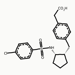 O=C(O)Cc1ccc(C[C@@H]2CCC[C@@H]2NS(=O)(=O)c2ccc(Cl)cc2)cc1